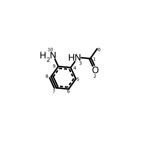 CC(=O)Nc1ccc#cc1N